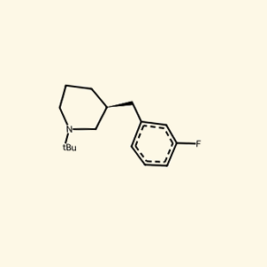 CC(C)(C)N1CCC[C@@H](Cc2cccc(F)c2)C1